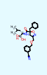 CC(C)C[C@H](NC(=O)C1(Cc2ccccc2)CC(COCc2cccc(C#N)c2)=NO1)B(O)O